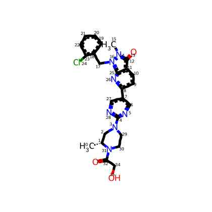 C[C@@H]1CN(c2ncc(-c3ccc4c(=O)n(C)n(Cc5ccccc5Cl)c4n3)cn2)CCN1C(=O)CO